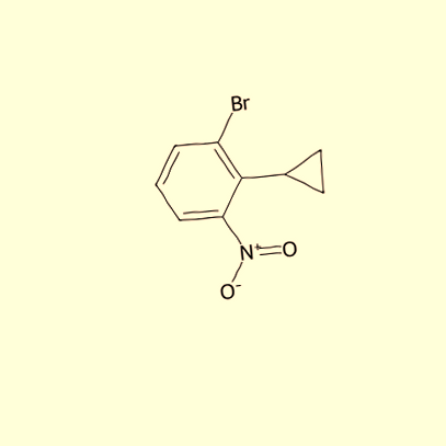 O=[N+]([O-])c1cccc(Br)c1C1CC1